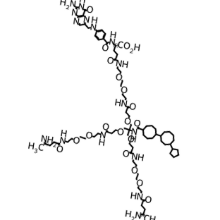 C[C@@H](N)CCC(=O)NCCOCCOCCNC(=O)CCOCC(COCCC(=O)NCCOCCOCCNC(=O)CC[C@H](NC(=O)c1ccc(NCc2cnc3nc(N)[nH]c(=O)c3n2)cc1)C(=O)O)(COCCC(=O)NCCOCCOCCNC(=O)CC[C@@H](C)N)NC(=O)C1CCCC(C2CCCCC(C3CCCC3)CC2)CCC1